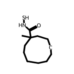 CC1(C(=O)NS)CCCCCCCCC1